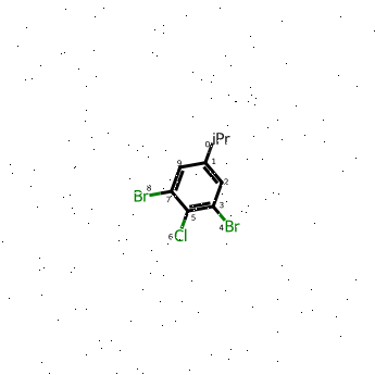 CC(C)c1cc(Br)c(Cl)c(Br)c1